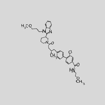 COCCCn1c([C@@H]2CCCN(C(=O)C[C@H](C)Cc3ccc(-c4ccc(C(=O)NCCOC)cc4Cl)cc3)C2)nc2ccccc21